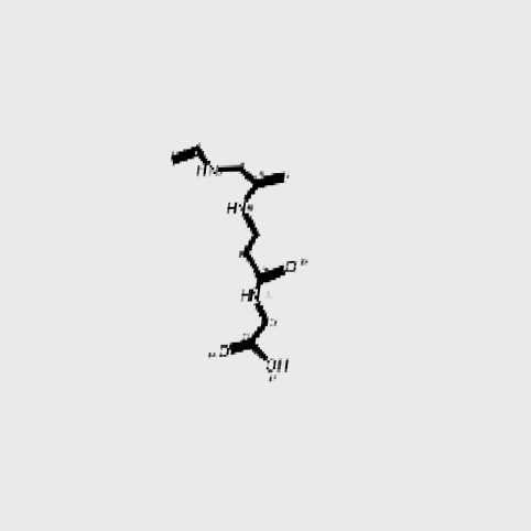 C=CNCC(=C)NCCC(=O)NCC(=O)O